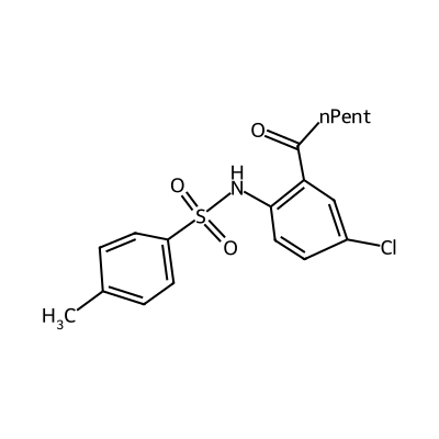 CCCCCC(=O)c1cc(Cl)ccc1NS(=O)(=O)c1ccc(C)cc1